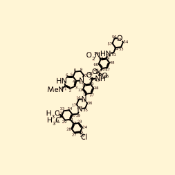 CNC1=CC=C2C(=CN1)CCCN2c1cc(N2CCN(CC3=C(c4ccc(Cl)cc4)CC(C)(C)CC3)CC2)ccc1C(=O)NS(=O)(=O)c1ccc(NCC2CCOCC2)c([N+](=O)[O-])c1